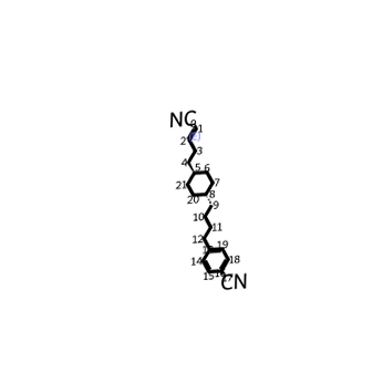 N#C/C=C/CC[C@H]1CC[C@H](CCCCc2ccc(C#N)cc2)CC1